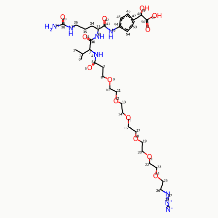 CC(C)C(NC(=O)CCOCCOCCOCCOCCOCCOCCN=[N+]=[N-])C(=O)NC(CCCNC(N)=O)C(=O)Nc1ccc(C(O)C(=O)O)cc1